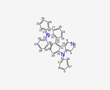 c1ccc(-n2c3ccncc3c3c(-c4cccc5c6ccccc6n(-c6ccccc6)c45)cccc32)cc1